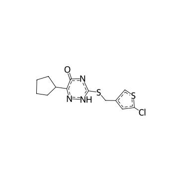 O=c1nc(SCc2csc(Cl)c2)[nH]nc1C1CCCC1